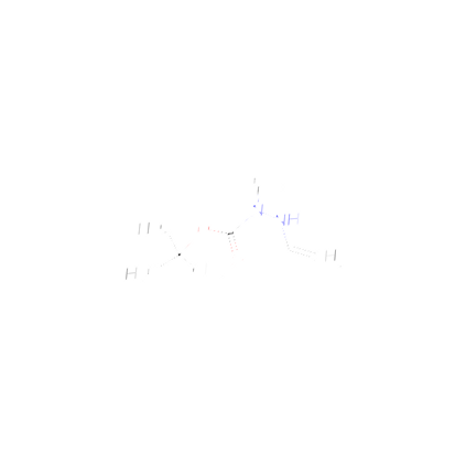 C=CNN(C)C(=O)OC(C)(C)C